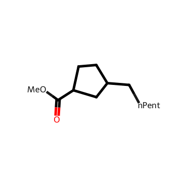 CCCCCCC1CCC(C(=O)OC)C1